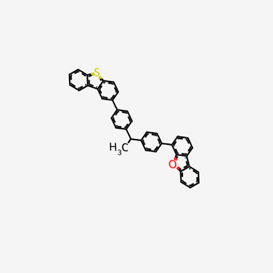 CC(c1ccc(-c2ccc3sc4ccccc4c3c2)cc1)c1ccc(-c2cccc3c2oc2ccccc23)cc1